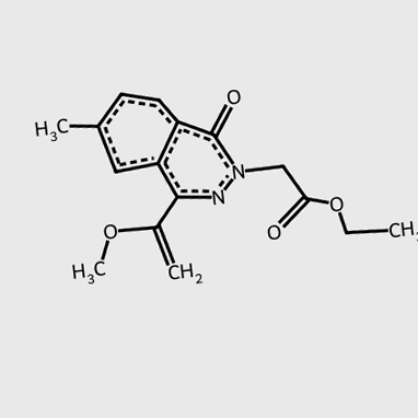 C=C(OC)c1nn(CC(=O)OCC)c(=O)c2ccc(C)cc12